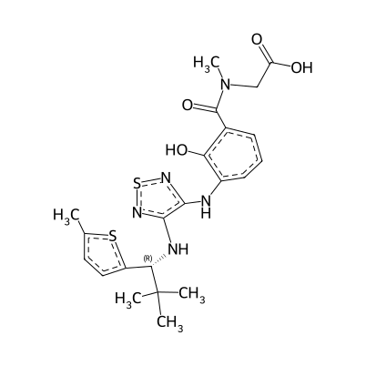 Cc1ccc([C@H](Nc2nsnc2Nc2cccc(C(=O)N(C)CC(=O)O)c2O)C(C)(C)C)s1